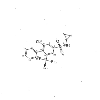 O=S(=O)(NC1CC1)c1cc(Cl)c(-c2ccccc2)c(C(F)(F)F)c1